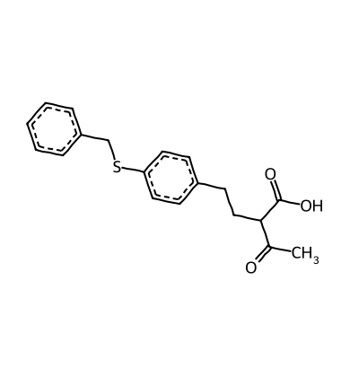 CC(=O)C(CCc1ccc(SCc2ccccc2)cc1)C(=O)O